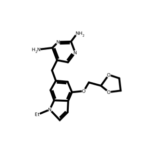 CCn1ccc2c(OCC3OCCO3)cc(Cc3cnc(N)nc3N)cc21